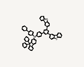 c1ccc(-c2ccc(N(c3ccc(-c4cc(-c5ccc6sc7ccccc7c6c5)cc(-c5ccc6sc7ccccc7c6c5)c4)cc3)c3ccc4c(c3)C(c3ccccc3)(c3ccccc3)c3ccccc3-4)cc2)cc1